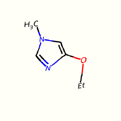 CCOc1cn(C)cn1